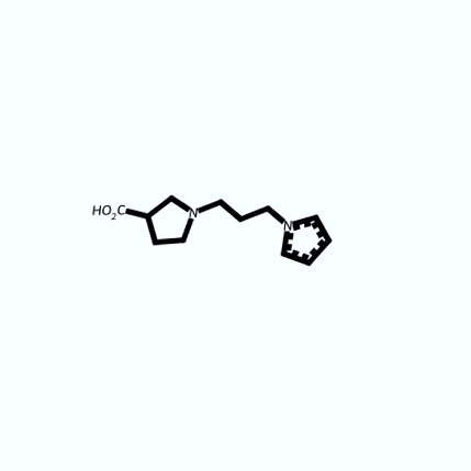 O=C(O)C1CCN(CCCn2cccc2)C1